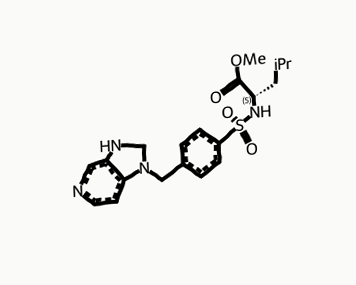 COC(=O)[C@H](CC(C)C)NS(=O)(=O)c1ccc(CN2CNc3cnccc32)cc1